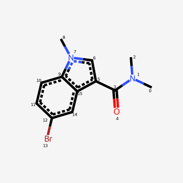 CN(C)C(=O)c1cn(C)c2ccc(Br)cc12